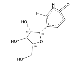 O=c1ccc([C@@H]2O[C@H](CO)C(O)[C@@H]2O)c(F)[nH]1